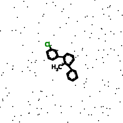 Cc1c(-c2[c]c(Cl)ccc2)cccc1-c1ccccc1